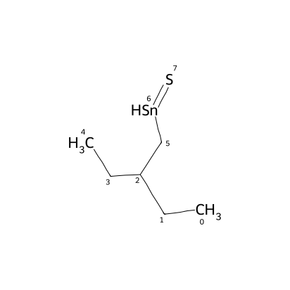 CCC(CC)[CH2][SnH]=[S]